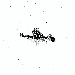 CC1=C(C(=O)OCCCSCCC#N)C(c2cccc([N+](=O)[O-])c2)C(C(=O)OCCCSC(=O)c2ccccc2)=C(C)N1